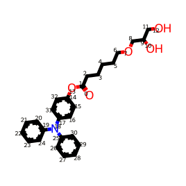 O=C(CCCCCOCC(O)CO)Oc1ccc(N(c2ccccc2)c2ccccc2)cc1